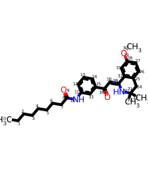 CCCCCCCCC(=O)Nc1cccc(C(=O)/C=C2\NC(C)(C)Cc3ccc(OC)cc32)c1